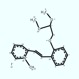 COC(COc1ccccc1C=Cc1cccc[n+]1C)OC.[I-]